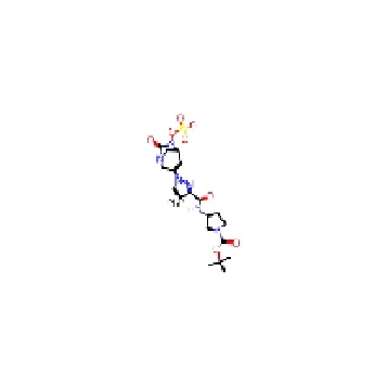 CC(C)(C)OC(=O)N1CC[C@H](NC(=O)c2ccn(C3=CC4CN(C3)C(=O)N4OS(=O)(=O)[O-])n2)C1.[Na+]